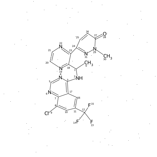 CC(Nc1ncnc2c(Cl)cc(C(F)(F)F)cc12)c1nccnc1-c1ccc(=O)n(C)n1